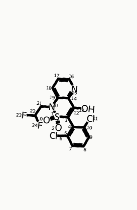 O=S1(=O)C(c2c(Cl)cccc2Cl)=C(O)c2ncccc2N1CC(F)F